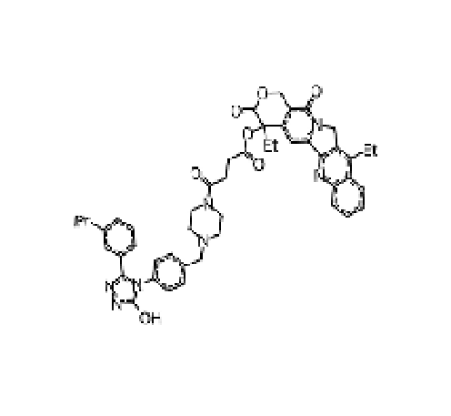 CCc1c2c(nc3ccccc13)-c1cc3c(c(=O)n1C2)COC(=O)C3(CC)OC(=O)CCC(=O)N1CCN(Cc2ccc(-n3c(O)nnc3-c3cccc(C(C)C)c3)cc2)CC1